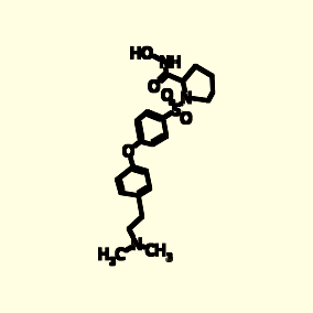 CN(C)CCc1ccc(Oc2ccc(S(=O)(=O)N3CCCCC3C(=O)NO)cc2)cc1